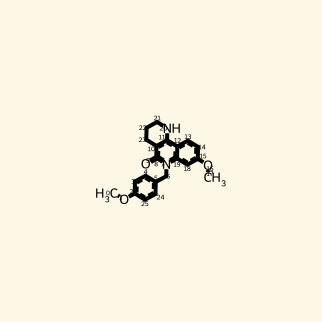 COc1ccc(Cn2c(=O)c3c(c4ccc(OC)cc42)NCCC3)cc1